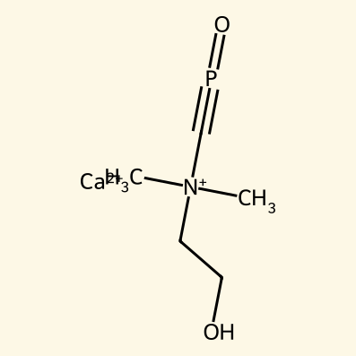 C[N+](C)(C#P=O)CCO.[Ca+2]